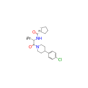 CC(C)C(NC(=O)[C@@H]1[CH]CCC1)C(=O)N1CCC(c2ccc(Cl)cc2)CC1